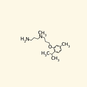 Cc1ccc(C(C)C)c(OCCCN(C)CCCN)c1